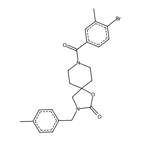 Cc1ccc(CN2CC3(CCN(C(=O)c4ccc(Br)c(C)c4)CC3)OC2=O)cc1